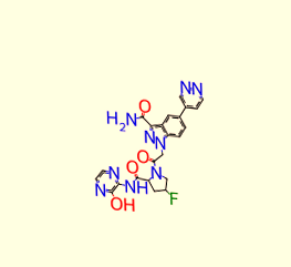 NC(=O)c1nn(CC(=O)N2CC(F)CC2C(=O)Nc2nccnc2O)c2ccc(-c3ccnnc3)cc12